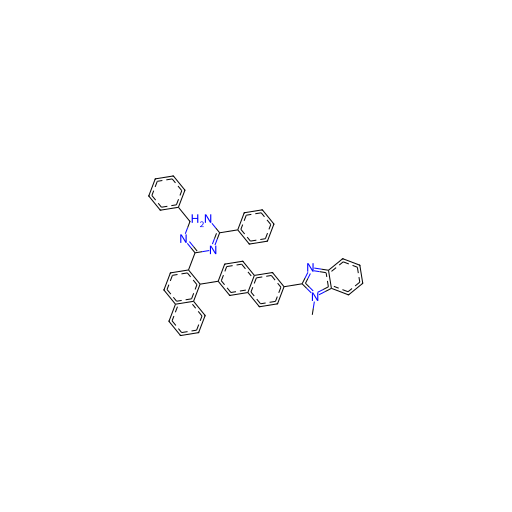 Cn1c(-c2ccc3cc(-c4c(C(/N=C(\N)c5ccccc5)=N/Cc5ccccc5)ccc5ccccc45)ccc3c2)nc2ccccc21